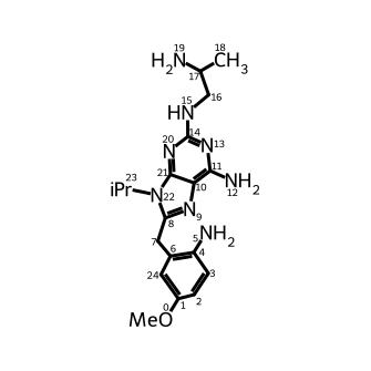 COc1ccc(N)c(Cc2nc3c(N)nc(NCC(C)N)nc3n2C(C)C)c1